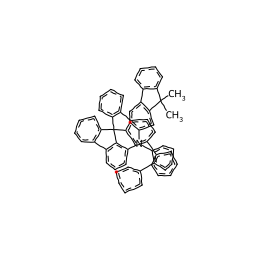 CC1(C)c2ccccc2-c2ccc(N(c3ccccc3-c3ccccc3)c3cccc4c3C3(c5ccccc5-c5ccc(-c6ccccc6)cc53)c3ccccc3-4)cc21